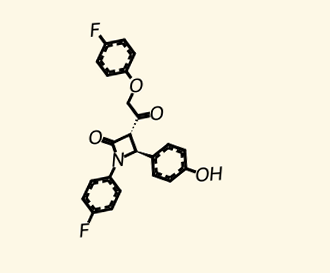 O=C(COc1ccc(F)cc1)[C@H]1C(=O)N(c2ccc(F)cc2)[C@@H]1c1ccc(O)cc1